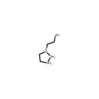 CCCCCC[SiH]1CC[SiH2][SiH2]1